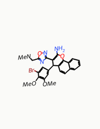 CNCc1nc(C2=C(N)Oc3c(ccc4ccccc34)C2c2cc(Br)c(OC)c(OC)c2)no1